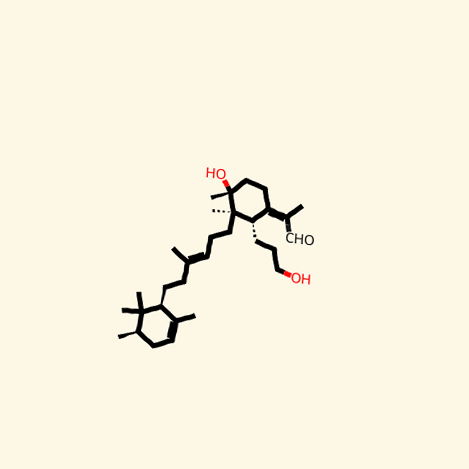 CC1=CC[C@@H](C)C(C)(C)[C@H]1CC/C(C)=C/CC[C@]1(C)[C@@H](CCCO)/C(=C(/C)C=O)CC[C@@]1(C)O